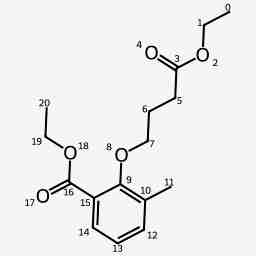 CCOC(=O)CCCOc1c(C)cccc1C(=O)OCC